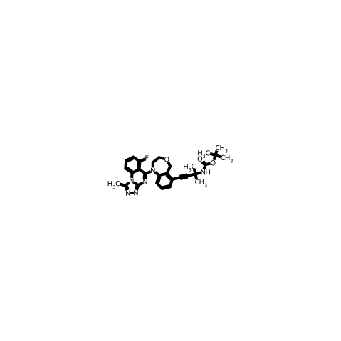 Cc1nnc2nc(N3CCOCc4c(C#CC(C)(C)NC(=O)OC(C)(C)C)cccc43)c3c(F)cccc3n12